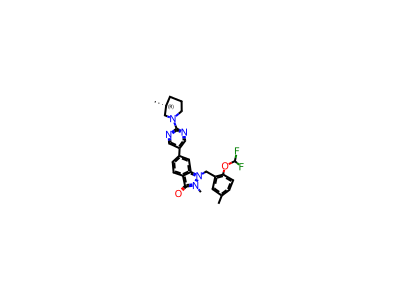 Cc1ccc(OC(F)F)c(Cn2c3cc(-c4cnc(N5CCC[C@@H](C)C5)nc4)ccc3c(=O)n2C)c1